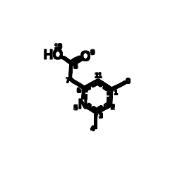 Cc1cc(C)nc(CC(=O)O)c1